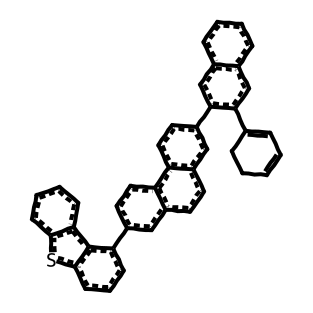 C1=CCCC(c2cc3ccccc3cc2-c2ccc3c(ccc4cc(-c5cccc6sc7ccccc7c56)ccc43)c2)=C1